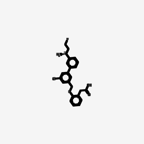 N[C@H](CCF)c1cccc(-c2cc(Cl)cc(COc3ccccc3CC(=O)O)c2)c1